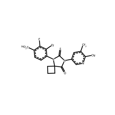 CCc1c(N2C(=S)N(c3cnc(C#N)c(C(F)(F)F)c3)C(=O)C23CCC3)ccc(C(=O)O)c1F